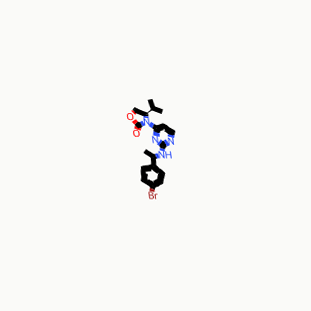 CC(Nc1nccc(N2C(=O)OC[C@@H]2C(C)C)n1)c1ccc(Br)cc1